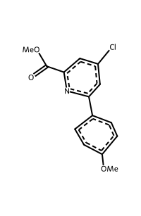 COC(=O)c1cc(Cl)cc(-c2ccc(OC)cc2)n1